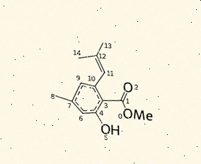 COC(=O)c1c(O)cc(C)cc1C=C(C)C